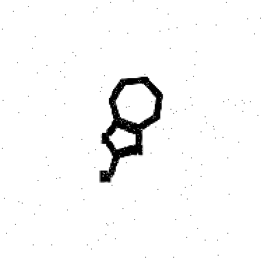 Brc1nc2c(s1)CCCCC2